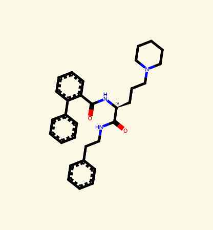 O=C(N[C@@H](CCCN1CCCCC1)C(=O)NCCc1ccccc1)c1ccccc1-c1ccccc1